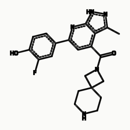 Cc1n[nH]c2nc(-c3ccc(O)c(F)c3)cc(C(=O)N3CC4(CCNCC4)C3)c12